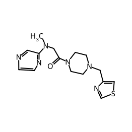 CN(CC(=O)N1CCN(Cc2cscn2)CC1)c1cnccn1